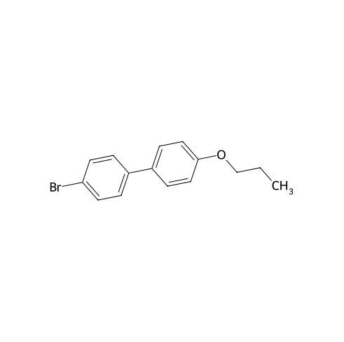 CCCOc1ccc(-c2ccc(Br)cc2)cc1